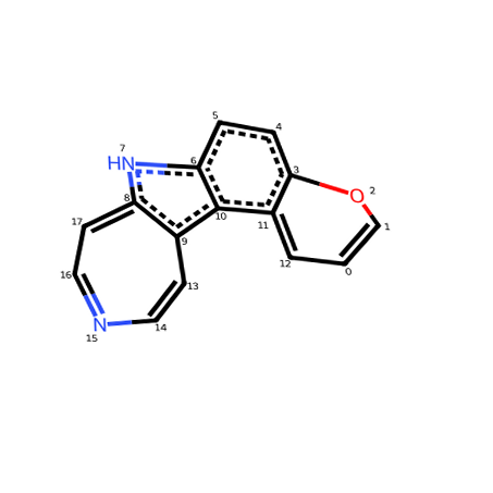 C1=COc2ccc3[nH]c4c(c3c2=C1)C=CN=CC=4